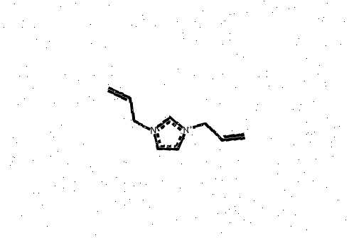 C=C[CH]n1cc[n+](CC=C)c1